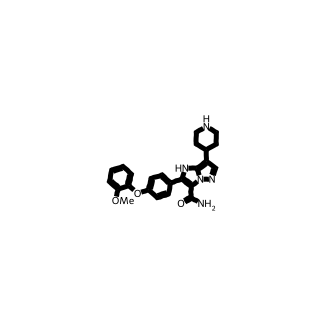 COc1ccccc1Oc1ccc(-c2[nH]c3c(C4CCNCC4)cnn3c2C(N)=O)cc1